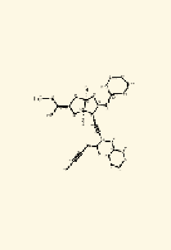 CC#CCC(C)[C@@H](C#C[C@H]1[C@H]2C/C(=C(\F)CO)C[C@H]2C[C@H]1OC1CCCCO1)OC1CCCCO1